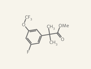 COC(=O)C(C)(C)c1cc(F)cc(OC(F)(F)F)c1